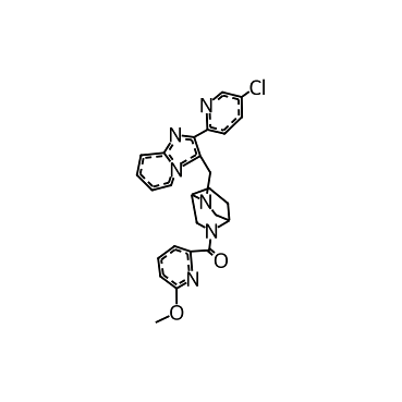 COc1cccc(C(=O)N2CC3CCC2CN3Cc2c(-c3ccc(Cl)cn3)nc3ccccn23)n1